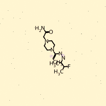 C/C=C(\N=N/C(C)C(C)F)N1CCN(CC(N)=O)CC1